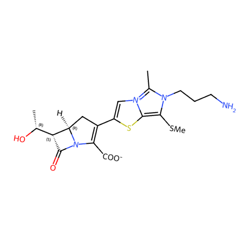 CSc1c2sc(C3=C(C(=O)[O-])N4C(=O)[C@H]([C@@H](C)O)[C@H]4C3)c[n+]2c(C)n1CCCN